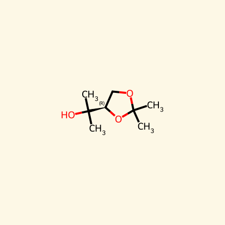 CC1(C)OC[C@H](C(C)(C)O)O1